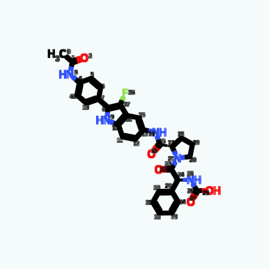 CC(=O)Nc1ccc(-c2[nH]c3ccc(NC(=O)[C@@H]4CCCN4C(=O)[C@@H](NC(=O)O)c4ccccc4)cc3c2F)cc1